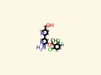 CC(Oc1cc(-c2ccc(CO)cn2)cnc1N)c1c(Cl)ccc(F)c1Cl